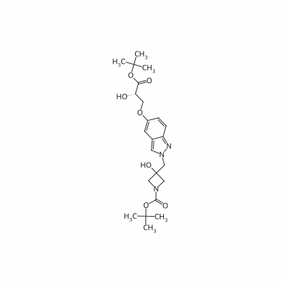 CC(C)(C)OC(=O)[C@@H](O)COc1ccc2nn(CC3(O)CN(C(=O)OC(C)(C)C)C3)cc2c1